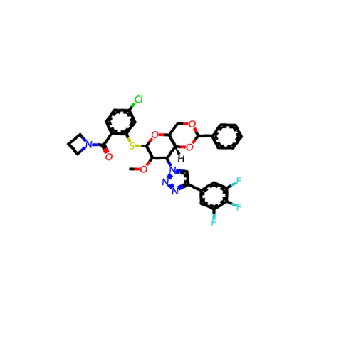 COC1C(n2cc(-c3cc(F)c(F)c(F)c3)nn2)[C@H]2OC(c3ccccc3)OCC2O[C@@H]1Sc1cc(Cl)ccc1C(=O)N1CCC1